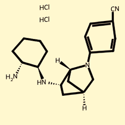 Cl.Cl.N#Cc1ccc(N2C[C@H]3C[C@H](N[C@@H]4CCCC[C@H]4N)[C@H]2C3)cc1